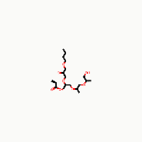 C=CC(=O)O.CCCCOCC(O)COC(C)COC(C)COC(C)CO